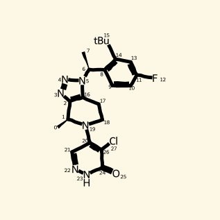 C[C@H]1c2nnn([C@@H](C)c3ccc(F)cc3C(C)(C)C)c2CCN1c1cn[nH]c(=O)c1Cl